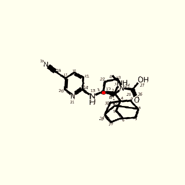 CNC(=O)C12CC3CC(C1)C([C@@H]1C(Nc4ccc(C#N)cn4)CCN1C(=O)O)C(C3)C2